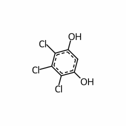 Oc1cc(O)c(Cl)c(Cl)c1Cl